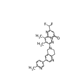 Cc1ccc(-c2cnc3c(c2)CN(c2nn4c(=O)cc(C(F)F)nc4c(C)c2C)CC3)cn1